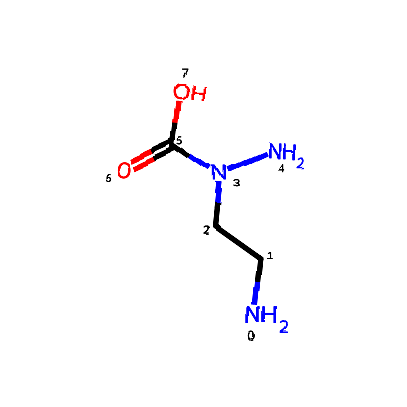 NCCN(N)C(=O)O